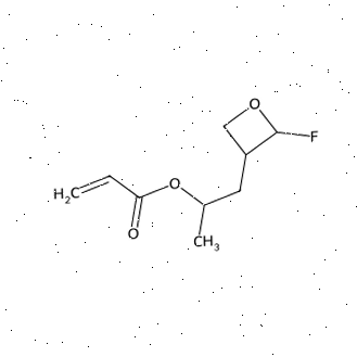 C=CC(=O)OC(C)CC1COC1F